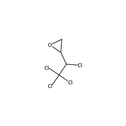 ClC(C1CO1)C(Cl)(Cl)Cl